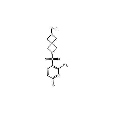 Cc1nc(Br)ccc1S(=O)(=O)N1CC2(CN(C(=O)O)C2)C1